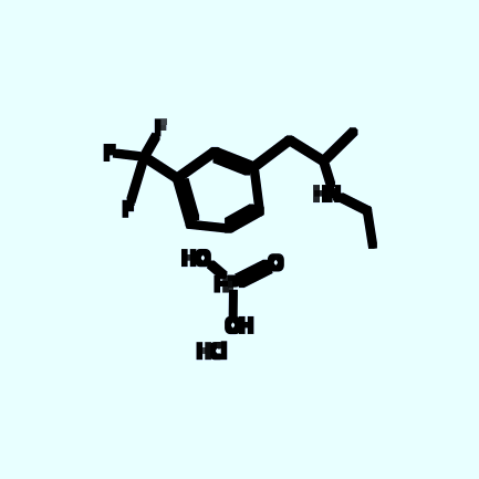 CCNC(C)Cc1cccc(C(F)(F)F)c1.Cl.O=[PH](O)O